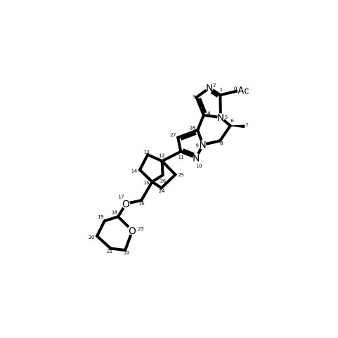 CC(=O)c1ncc2n1[C@@H](C)Cn1nc(C34CCC(COC5CCCCO5)(CC3)C4)cc1-2